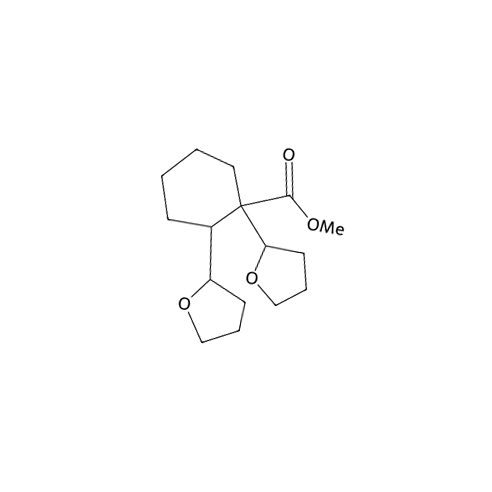 COC(=O)C1(C2CCCO2)CCCCC1C1CCCO1